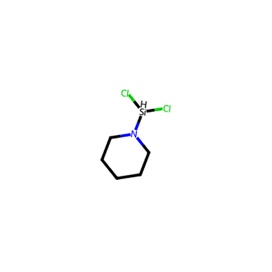 Cl[SiH](Cl)N1CCCCC1